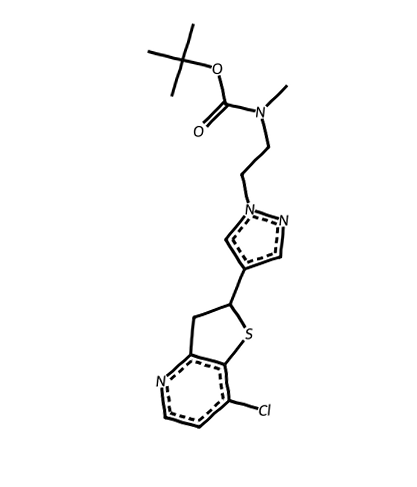 CN(CCn1cc(C2Cc3nccc(Cl)c3S2)cn1)C(=O)OC(C)(C)C